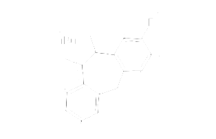 CC[C@@H](C)CC1c2ccccc2Cc2ccc(F)cc2C1C